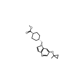 COC(=O)[C@H]1CC[C@H](Cn2ccc3ncc(OC4(C)CC4)cc32)CC1